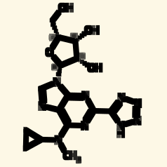 CN(c1nc(-c2nnn[nH]2)nc2c1ncn2[C@@H]1O[C@H](CO)[C@H](O)[C@@H]1O)C1CC1